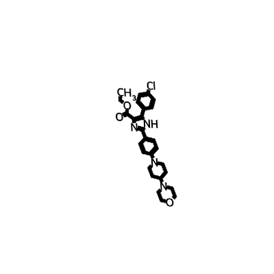 CCOC(=O)c1nc(-c2ccc(N3CCC(N4CCOCC4)CC3)cc2)[nH]c1-c1ccc(Cl)cc1